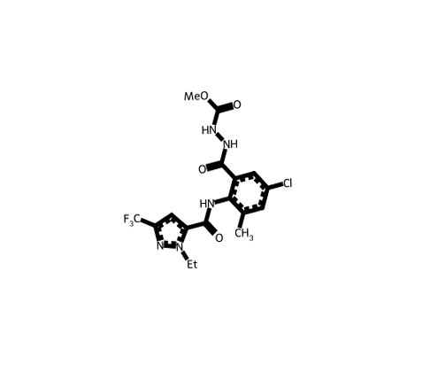 CCn1nc(C(F)(F)F)cc1C(=O)Nc1c(C)cc(Cl)cc1C(=O)NNC(=O)OC